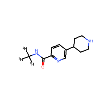 [2H]C([2H])([2H])NC(=O)c1ccc(C2CCNCC2)cn1